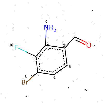 Nc1c(C=O)ccc(Br)c1F